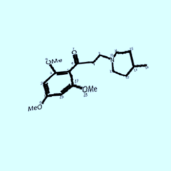 COc1cc(OC)c(C(=O)CCN2CCC(C)CC2)c(OC)c1